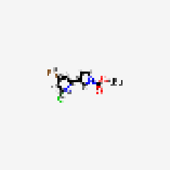 CC(C)(C)OC(=O)N1CC=C(c2cc(Br)cc(Cl)n2)C1